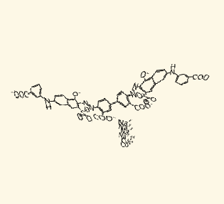 O=C([O-])c1cccc(Nc2ccc3c([O-])c(N=Nc4ccc(-c5ccc(N=Nc6c(S(=O)(=O)[O-])cc7cc(Nc8cccc(C(=O)[O-])c8)ccc7c6[O-])c(C(=O)[O-])c5)cc4C(=O)[O-])c(S(=O)(=O)[O-])cc3c2)c1.[Cu+2].[Cu+2].[Na+].[Na+].[Na+].[Na+]